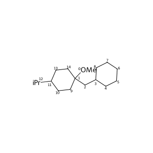 COC1(CC2CCCCC2)CCC(C(C)C)CC1